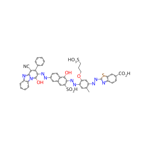 Cc1cc(N=Nc2c(S(=O)(=O)O)cc3cc(N=Nc4c(-c5ccccc5)c(C#N)c5nc6ccccc6n5c4O)ccc3c2O)c(OCCCS(=O)(=O)O)cc1N=Nc1nc2ccc(C(=O)O)cc2s1